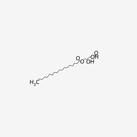 C1CO1.CCCCCCCCCCCCCCCCCC(=O)OCC(O)CO